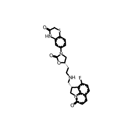 O=C1CSc2ccc(N3C[C@H](CCNC[C@H]4Cn5c(=O)ccc6ccc(F)c4c65)OC3=O)cc2N1